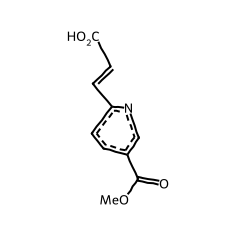 COC(=O)c1ccc(C=CC(=O)O)nc1